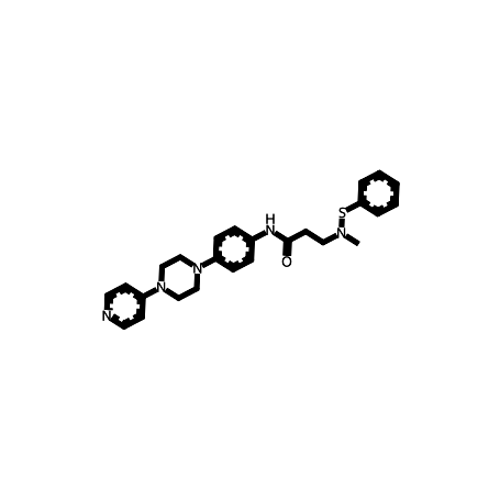 CN(CCC(=O)Nc1ccc(N2CCN(c3ccncc3)CC2)cc1)Sc1ccccc1